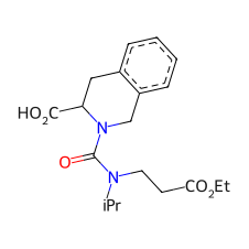 CCOC(=O)CCN(C(=O)N1Cc2ccccc2CC1C(=O)O)C(C)C